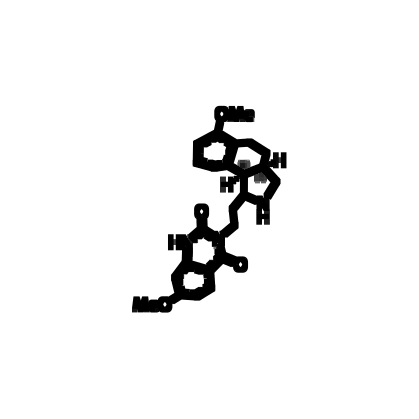 COc1ccc2c(=O)n(CCC3NC[C@@H]4CCc5c(OC)cccc5[C@H]34)c(=O)[nH]c2c1